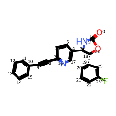 O=C1N[C@H](c2ccc(C#Cc3ccccc3)nc2)[C@@H](c2cccc(F)c2)O1